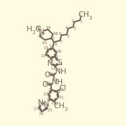 CCCCCCCCC(c1ccc2nc(NC(=O)NC(=O)c3cc(-n4cccn4)c(C)cc3Cl)sc2c1)C1CCN(C)CC1